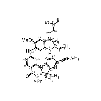 C=CC(=O)Nc1cc(Nc2ncc(C(=O)OC(C)C)c(N3CC(C)(C)c4nc(C#CC)ccc43)n2)c(OC)cc1N(C)CCN(CC)CC